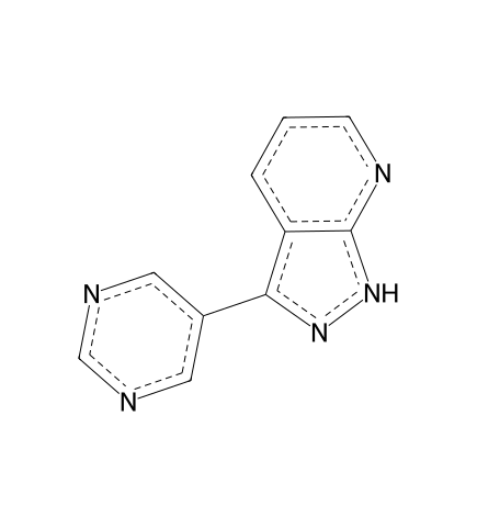 c1cnc2[nH]nc(-c3cncnc3)c2c1